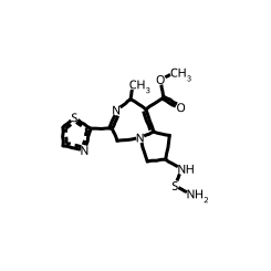 COC(=O)C1=C2CC(NSN)CN2CC(c2nccs2)=NC1C